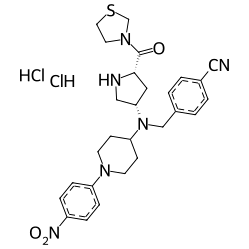 Cl.Cl.N#Cc1ccc(CN(C2CCN(c3ccc([N+](=O)[O-])cc3)CC2)[C@@H]2CN[C@H](C(=O)N3CCSC3)C2)cc1